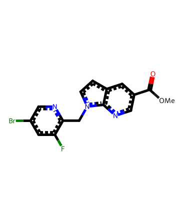 COC(=O)c1cnc2c(ccn2Cc2ncc(Br)cc2F)c1